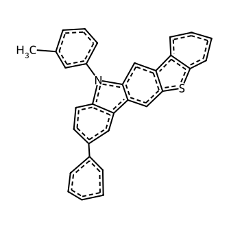 Cc1cccc(-n2c3ccc(-c4ccccc4)cc3c3cc4sc5ccccc5c4cc32)c1